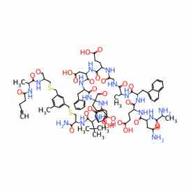 C#CCCC(=O)NC(C)C(=O)NC(C=O)CSCc1cc(C)cc(CSCC(NC(=O)C(NC(=O)C(CC(=O)O)NC(C=O)(Cc2ccc(O)cc2)NC(=O)C(Cc2ccccc2)NC(=O)C(CC(=O)O)NC(=O)C(CCC(=O)O)NC(=O)CNC(=O)C(C)NC(=O)C(Cc2cccc3ccccc23)NC(=O)C(CCC(=O)O)NC(=O)C(CC(N)=O)NC(=O)C(C)N)C(C)(C)C)C(N)=O)c1